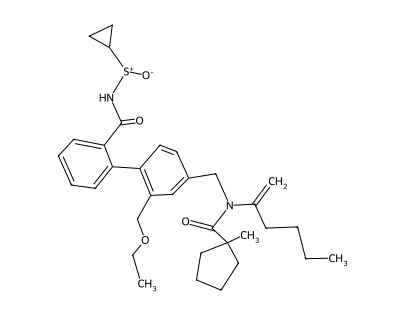 C=C(CCCC)N(Cc1ccc(-c2ccccc2C(=O)N[S+]([O-])C2CC2)c(COCC)c1)C(=O)C1(C)CCCC1